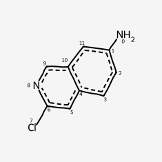 Nc1ccc2cc(Cl)ncc2c1